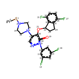 CC(C)SN1CCN(c2cnn(-c3cc(F)cc(F)c3)c(=O)c2OC2CCc3c(F)ccc(F)c32)CC1